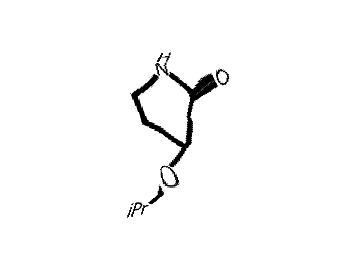 CC(C)OC1CCNC(=O)C1